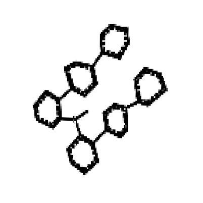 CN(c1ccccc1-c1ccc(-c2ccccc2)cc1)c1ccccc1-c1ccc(-c2ccccc2)cc1